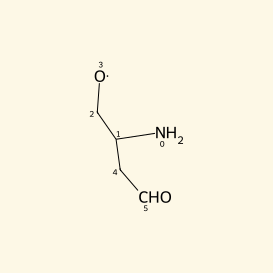 NC(C[O])CC=O